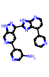 Nc1cncc(-c2cc3c(-c4nc5c(-c6cccnc6)ccnc5[nH]4)n[nH]c3cn2)c1